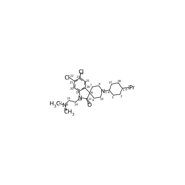 CC(C)C1CCC(N2CCC3(CC2)C(=O)N(CCN(C)C)c2cc(Cl)c(Cl)cc23)CC1